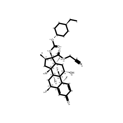 CC[C@H]1CC[C@H](OC(=O)O[C@]2(C(=O)OCC#N)[C@H](C)C[C@H]3[C@@H]4C[C@H](F)C5=CC(=O)C=C[C@]5(C)[C@@]4(F)[C@@H](O)C[C@@]32C)CC1